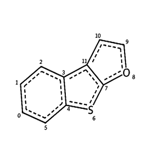 c1ccc2c(c1)sc1occc12